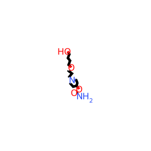 NC(=O)OC1CCN(CCCOCCCCO)CC1